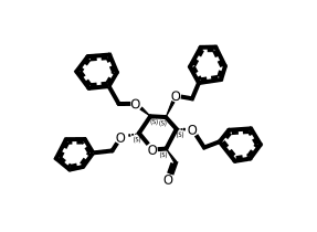 O=C[C@H]1O[C@H](OCc2ccccc2)[C@@H](OCc2ccccc2)[C@@H](OCc2ccccc2)[C@@H]1OCc1ccccc1